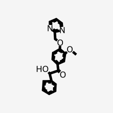 COc1cc(C(=O)C(O)c2ccccc2)ccc1OCc1ncccn1